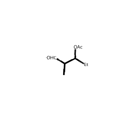 CCC(OC(C)=O)C(C)[C]=O